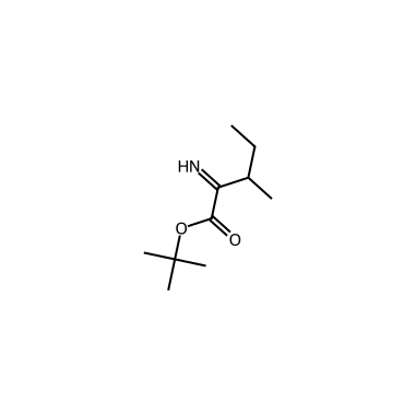 CCC(C)C(=N)C(=O)OC(C)(C)C